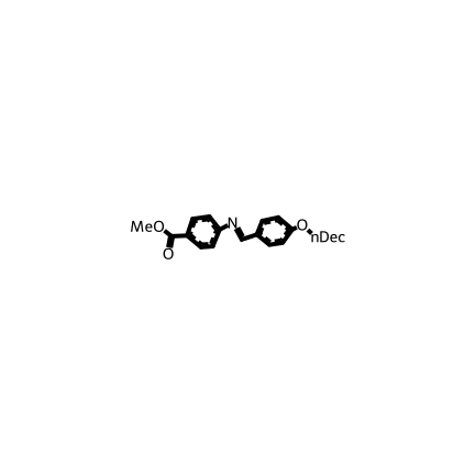 CCCCCCCCCCOc1ccc(C=Nc2ccc(C(=O)OC)cc2)cc1